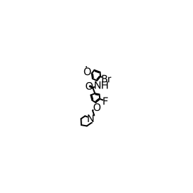 COc1ccc(Br)c(NC(=O)c2ccc(OCCN3CCCCC3)c(F)c2)c1